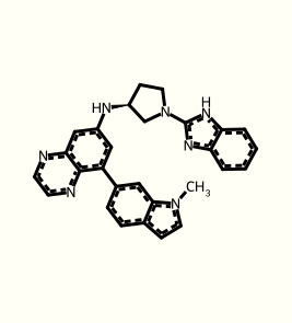 Cn1ccc2ccc(-c3cc(N[C@H]4CCN(c5nc6ccccc6[nH]5)C4)cc4nccnc34)cc21